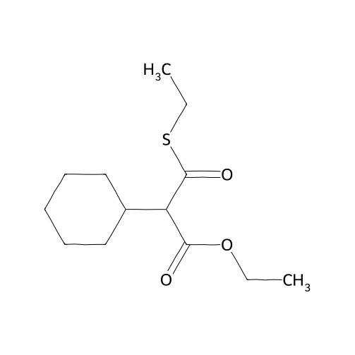 CCOC(=O)C(C(=O)SCC)C1CCCCC1